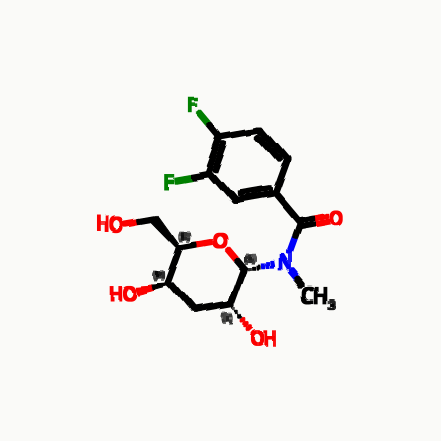 CN(C(=O)c1ccc(F)c(F)c1)[C@H]1O[C@H](CO)[C@H](O)C[C@H]1O